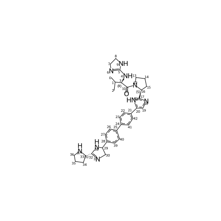 CC(C)[C@@H](NC1=NCCN1)C(=O)N1CCC[C@H]1c1ncc(-c2ccc(-c3ccc(C4CN=C([C@@H]5CCCN5)N4)cc3)cc2)[nH]1